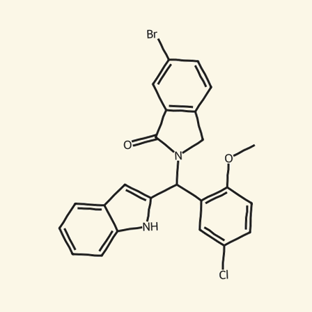 COc1ccc(Cl)cc1C(c1cc2ccccc2[nH]1)N1Cc2ccc(Br)cc2C1=O